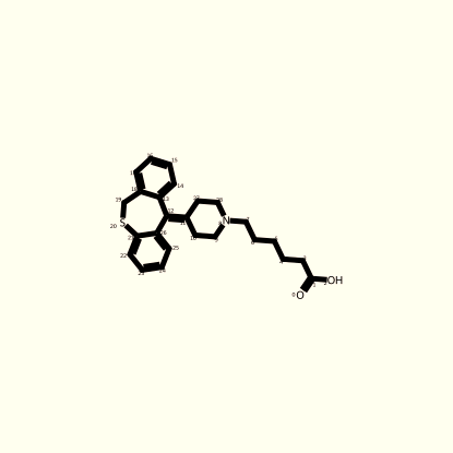 O=C(O)CCCCCN1CCC(=C2c3ccccc3CSc3ccccc32)CC1